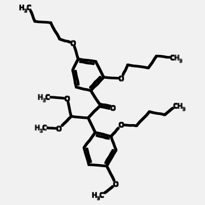 CCCCOc1ccc(C(=O)C(c2ccc(OC)cc2OCCCC)C(OC)OC)c(OCCCC)c1